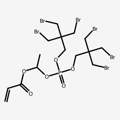 C=CC(=O)OC(C)OP(=O)(OCC(CBr)(CBr)CBr)OCC(CBr)(CBr)CBr